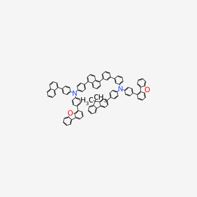 CC1(C)c2ccccc2-c2ccc(-c3ccc(N(c4ccc(-c5cccc6oc7ccccc7c56)cc4)c4cccc(-c5cccc(-c6cccc7c(-c8ccc(N(c9ccc(-c%10cccc%11ccccc%10%11)cc9)c9ccc(-c%10cccc%11c%10oc%10ccccc%10%11)cc9)cc8)cccc67)c5)c4)cc3)cc21